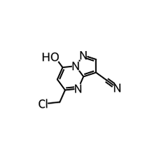 N#Cc1cnn2c(O)cc(CCl)nc12